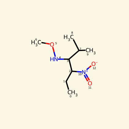 CCC(C(NOC)C(C)C)[N+](=O)[O-]